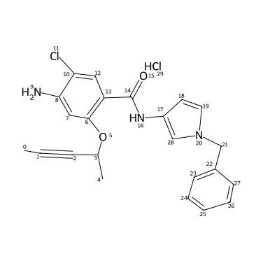 CC#CC(C)Oc1cc(N)c(Cl)cc1C(=O)Nc1ccn(Cc2ccccc2)c1.Cl